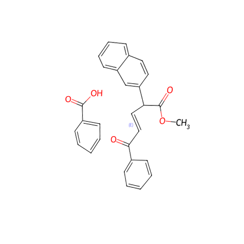 COC(=O)C(/C=C/C(=O)c1ccccc1)c1ccc2ccccc2c1.O=C(O)c1ccccc1